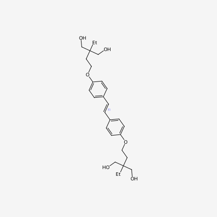 CCC(CO)(CO)CCOc1ccc(/C=C/c2ccc(OCCC(CC)(CO)CO)cc2)cc1